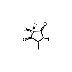 O=C1C(I)C(I)C(=O)S1(=O)=O